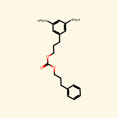 CCCCCc1cc(CCCCC)cc(CCCOC(=O)OCCCc2ccccc2)c1